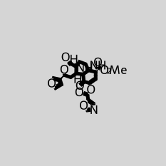 COC(=O)[C@@H]1C=C(OC(=O)c2cnco2)C(=O)[C@H]2[C@@]1(N)CC[C@H]1C(=O)O[C@H](c3ccoc3)C[C@]21N